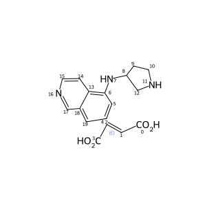 O=C(O)/C=C/C(=O)O.c1cc(NC2CCNC2)c2ccncc2c1